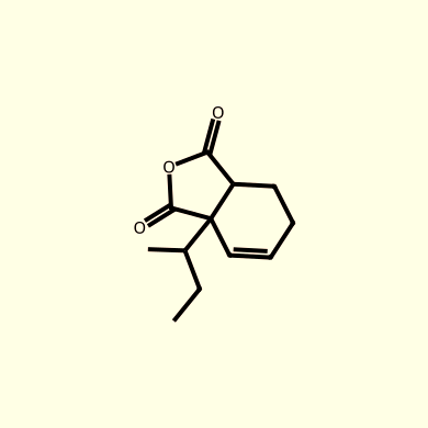 CCC(C)C12C=CCCC1C(=O)OC2=O